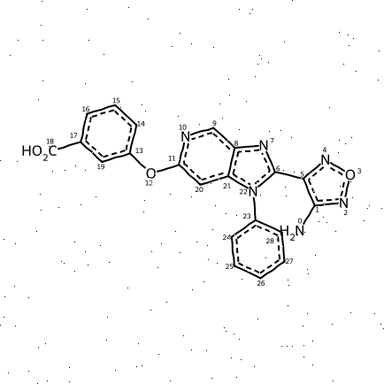 Nc1nonc1-c1nc2cnc(Oc3cccc(C(=O)O)c3)cc2n1-c1ccccc1